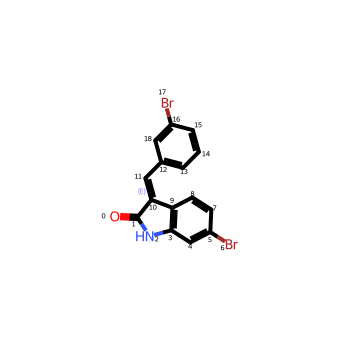 O=C1Nc2cc(Br)ccc2/C1=C\c1cccc(Br)c1